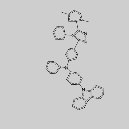 Cc1ccc(C)c(-c2nnc(-c3ccc(N(c4ccccc4)c4ccc(-n5c6ccccc6c6ccccc65)cc4)cc3)n2-c2ccccc2)c1